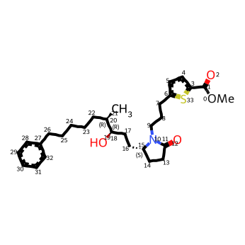 COC(=O)c1ccc(CCCN2C(=O)CC[C@@H]2CC[C@@H](O)[C@H](C)CCCCCc2ccccc2)s1